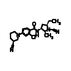 CC[C@H]1C[C@@H](NC(=O)c2ccc(N3CCC[C@H](C#N)C3)cc2Cl)[C@@H](C)N1C#N